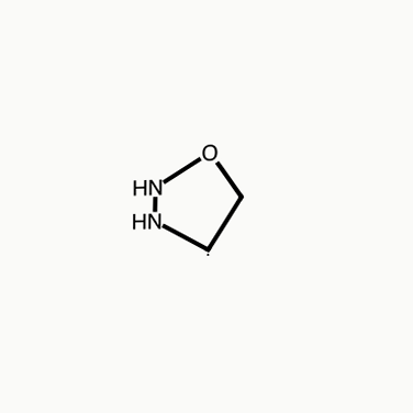 [CH]1CONN1